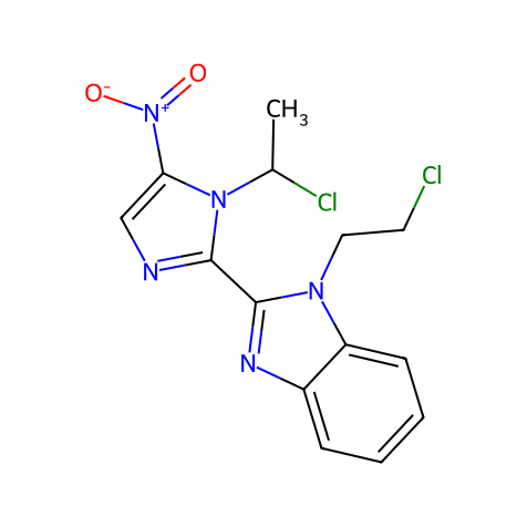 CC(Cl)n1c([N+](=O)[O-])cnc1-c1nc2ccccc2n1CCCl